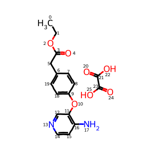 CCOC(=O)Cc1ccc(Oc2cnccc2N)cc1.O=C(O)C(=O)O